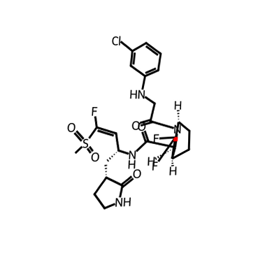 CS(=O)(=O)/C(F)=C\[C@@H](C[C@H]1CCNC1=O)NC(=O)[C@@H]1[C@@H]2CC[C@@H](CC2(F)F)N1C(=O)CNc1cccc(Cl)c1